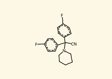 N#CC(c1ccc(F)cc1)(c1ccc(F)cc1)N1CCCCC1